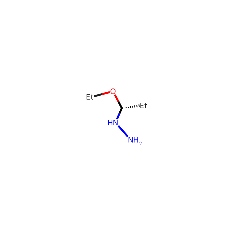 CCO[C@H](CC)NN